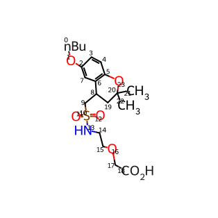 CCCCOc1ccc2c(c1)C(CS(=O)(=O)NCCOCC(=O)O)CC(C)(C)O2